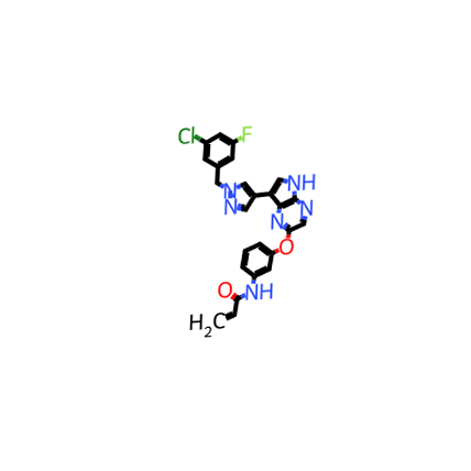 C=CC(=O)Nc1cccc(Oc2cnc3[nH]cc(-c4cnn(Cc5cc(F)cc(Cl)c5)c4)c3n2)c1